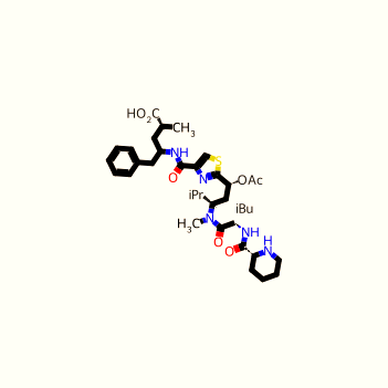 CC[C@H](C)[C@H](NC(=O)[C@H]1CCCCN1)C(=O)N(C)[C@H](C[C@@H](OC(C)=O)c1nc(C(=O)NC(Cc2ccccc2)C[C@H](C)C(=O)O)cs1)C(C)C